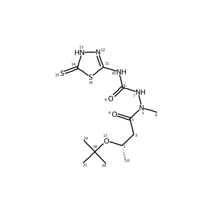 C[C@@H](CC(=O)N(C)NC(=O)Nc1n[nH]c(=S)s1)OC(C)(C)C